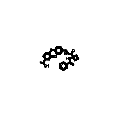 CC(O)c1ccc(Oc2ccc(CNC(=O)C3(NC(=O)c4cncnc4)CCC3)cc2)c(Cl)c1